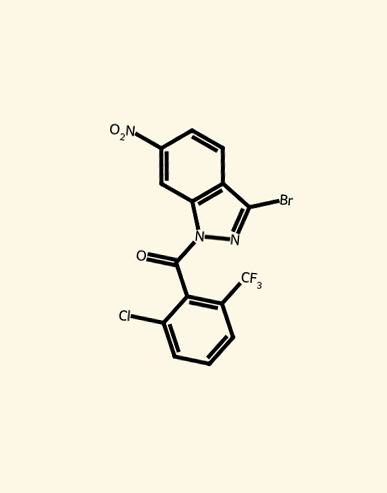 O=C(c1c(Cl)cccc1C(F)(F)F)n1nc(Br)c2ccc([N+](=O)[O-])cc21